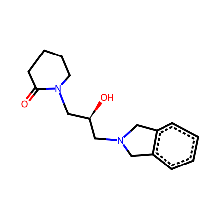 O=C1CCCCN1C[C@@H](O)CN1Cc2ccccc2C1